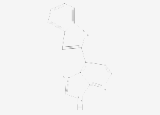 c1ccc2[nH]c(-c3ccnc4[nH]cnc34)cc2c1